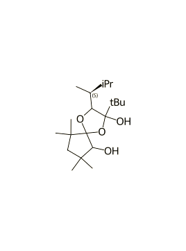 CC(C)[C@H](C)C1OC2(OC1(O)C(C)(C)C)C(O)C(C)(C)CC2(C)C